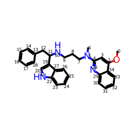 COc1cc(N(C)CCCNC(Cc2ccccc2)c2c[nH]c3ccccc23)nc2ccccc12